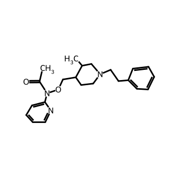 CC(=O)N(OCC1CCN(CCc2ccccc2)CC1C)c1ccccn1